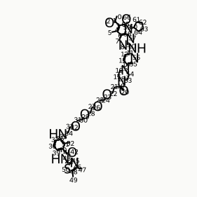 CC(=O)c1c(C)c2cnc(Nc3ccc(N4CCN(C(=O)CCOCCOCCOCCOCCNc5cccc(C(=O)Nc6nc(C)c(C)s6)c5C)CC4)cn3)nc2n(C2CCCC2)c1=O